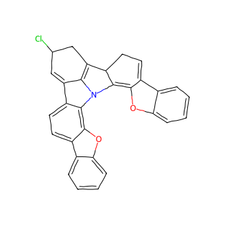 ClC1C=c2c3n(c4c2ccc2c5ccccc5oc24)C2=c4oc5ccccc5c4=CCC2C=3C1